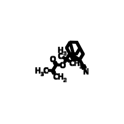 C=C(C)C(=O)OC(C)(C)C12CC3CC(CC(C#N)(C3)C1)C2